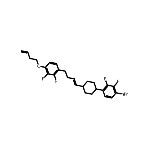 C=CCCOc1ccc(CC/C=C/C2CCC(c3ccc(CCC)c(F)c3F)CC2)c(F)c1F